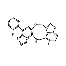 Fc1cccnc1-c1cc2c(n3cnnc13)NCc1c(F)ccc3c1[C@H](CO3)CO2